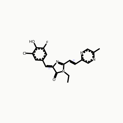 CCN1C(=O)/C(=C/c2cc(F)c(O)c(Cl)c2)N=C1/C=C/c1cnc(C)cn1